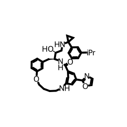 CC(C)c1cccc(C2(NC[C@@H](O)[C@@H]3Cc4cccc(c4)OCCCCNc4cc(cc(-c5ncco5)c4)C(=O)N3)CC2)c1